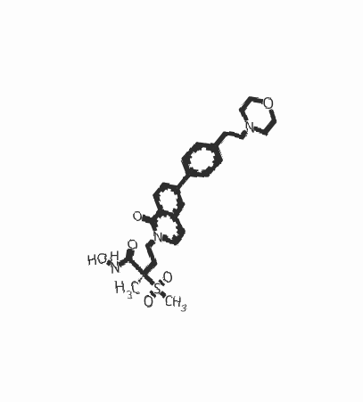 C[C@@](CCn1ccc2cc(-c3ccc(CCN4CCOCC4)cc3)ccc2c1=O)(C(=O)NO)S(C)(=O)=O